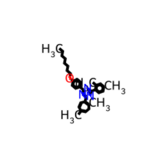 CCCCCCCCOc1ccc(-c2nc(C3=C(C)CC=C(C)C=C3)nc(-c3ccc(C)cc3C)n2)cc1